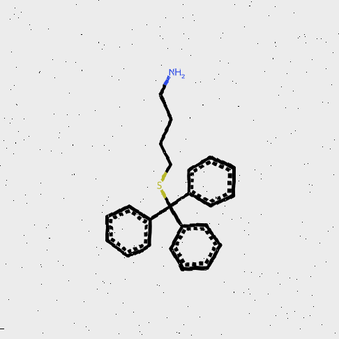 NCCCCSC(c1ccccc1)(c1ccccc1)c1ccccc1